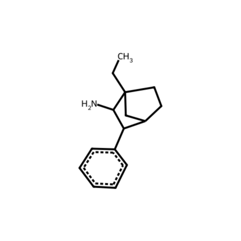 CCC12CCC(C1)C(c1ccccc1)C2N